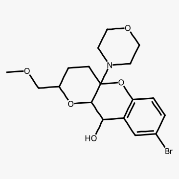 COCC1CCC2(N3CCOCC3)Oc3ccc(Br)cc3C(O)C2O1